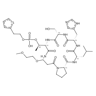 COCCOCCC(=O)N1CCC[C@H]1C(=O)N[C@@H](CC(C)C)C(=O)N[C@@H](Cc1cnc[nH]1)C(=O)N[C@@H](CO)C(=O)N[C@H](C(N)=O)[C@@H](C)OP(=O)(O)OCCc1cccs1